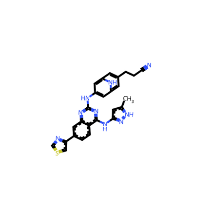 Cc1cc(Nc2nc(NC3=CC4=CC(CCC#N)=CC(=C3)N4)nc3cc(-c4cscn4)ccc23)n[nH]1